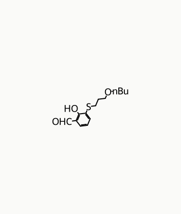 CCCCOCCCSc1cccc(C=O)c1O